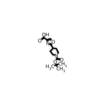 CC(C)(C)OC(=O)N1CCC(c2nc(C(=O)O)co2)CC1